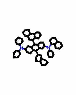 c1ccc(N(c2ccccc2)c2ccc3c(-c4ccc5ccccc5c4)c4cc(N(c5ccccc5)c5cccc6ccccc56)ccc4c(-c4cc5ccccc5c5ccccc45)c3c2)cc1